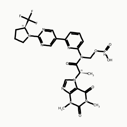 C[C@@H](C(=O)N(CO[PH](=O)O)c1cccc(-c2cnc(N3CCC[C@H]3C(F)(F)F)nc2)n1)n1cnc2c1c(=O)n(C)c(=O)n2C